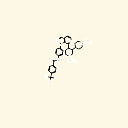 CN1CCC(C2CN(N)CCC2c2nccc3cnn(-c4ccc(NC(=O)c5ccc(C(F)(F)F)cc5)cc4)c23)CC1